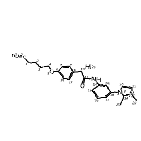 CCCCCCCCCCCCCCOc1ccc(CC(=O)Nc2cccc(N3C=CN(C)C3C)c2)cc1.I